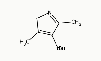 CC1=NCC(C)=C1C(C)(C)C